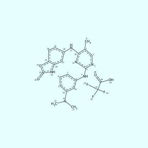 Cc1cnc(Nc2cccc(N(C)C)c2)nc1Nc1ccc2oc(=O)[nH]c2c1.O=C(O)C(F)(F)F